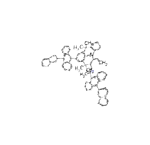 C=CC1=C(/C=C(\C)c2c3ccccc3c(-c3ccc4ccccc4c3)c3ccccc23)C(C)(C)c2cc(-c3c4ccccc4c(-c4ccc5ccccc5c4)c4ccccc34)cc3c2N1c1ccccc1C3(C)C